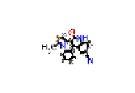 Cc1nc(-c2c(-c3ccccc3)c3cc(C#N)ccc3[nH]c2=O)cs1